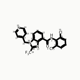 O=C(Nc1c(Cl)cccc1Cl)c1cccc2c1nc(C(F)(F)F)n2Cc1ccncc1